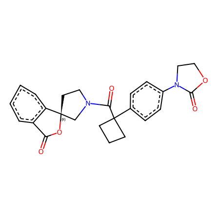 O=C1O[C@]2(CCN(C(=O)C3(c4ccc(N5CCOC5=O)cc4)CCC3)C2)c2ccccc21